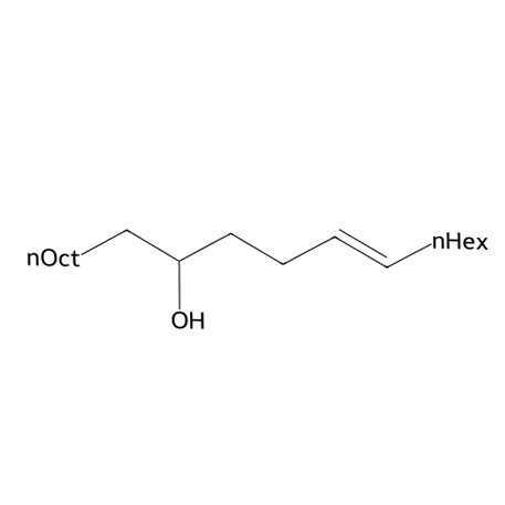 CCCCCCC=CCCC(O)CCCCCCCCC